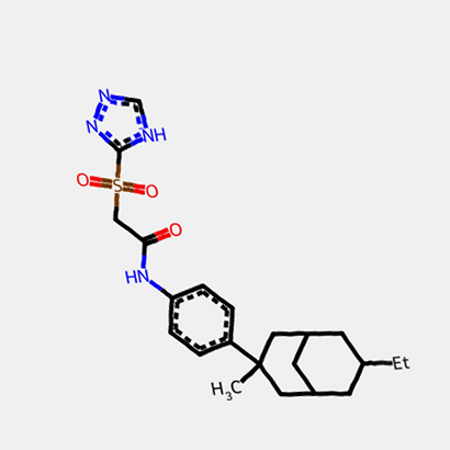 CCC1CC2CC(C1)CC(C)(c1ccc(NC(=O)CS(=O)(=O)c3nnc[nH]3)cc1)C2